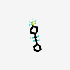 FC(F)(c1ccccc1)C(F)(F)c1ccc(S(F)(F)(F)(F)F)cc1